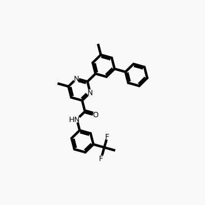 Cc1cc(-c2ccccc2)cc(-c2nc(C)cc(C(=O)Nc3cccc(C(C)(F)F)c3)n2)c1